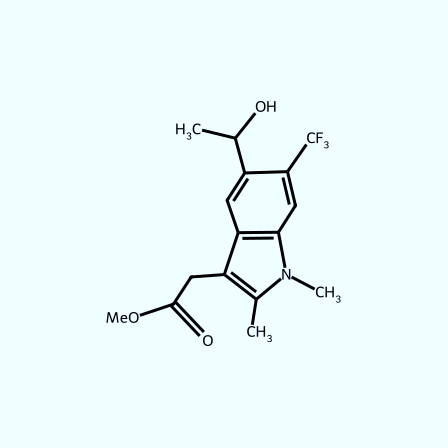 COC(=O)Cc1c(C)n(C)c2cc(C(F)(F)F)c(C(C)O)cc12